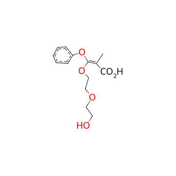 CC(C(=O)O)=C(OCCOCCO)Oc1ccccc1